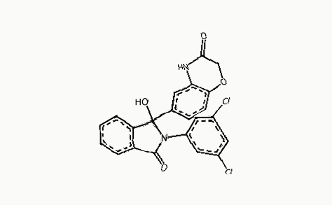 O=C1COc2ccc(C3(O)c4ccccc4C(=O)N3c3cc(Cl)cc(Cl)c3)cc2N1